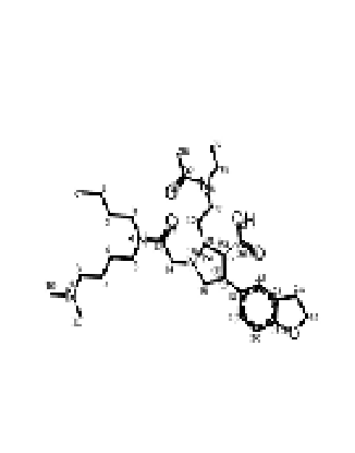 CCCCN(CCCCN(C)C)C(=O)CN1C[C@H](c2ccc3c(c2)CCO3)[C@@H](C(=O)O)[C@@H]1CCN(CC)C(C)=O